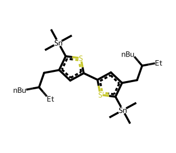 CCCCC(CC)Cc1cc(-c2cc(CC(CC)CCCC)[c]([Sn]([CH3])([CH3])[CH3])s2)s[c]1[Sn]([CH3])([CH3])[CH3]